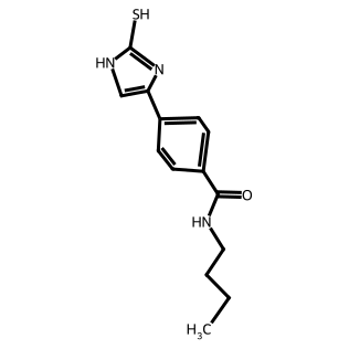 CCCCNC(=O)c1ccc(-c2c[nH]c(S)n2)cc1